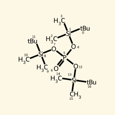 CC(C)(C)[Si](C)(C)OP(=O)(O[Si](C)(C)C(C)(C)C)O[Si](C)(C)C(C)(C)C